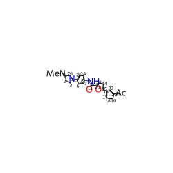 CNC1CCN(c2ccc(NC(=O)c3ccc(-c4cccc(C(C)=O)c4)o3)cc2)C1